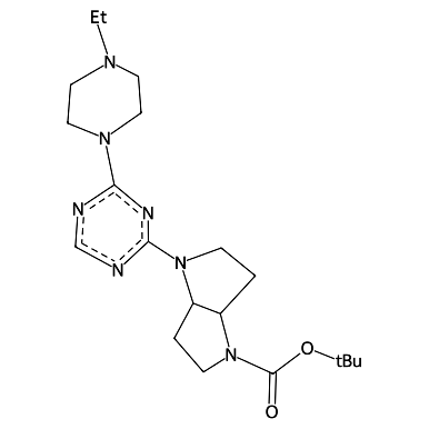 CCN1CCN(c2ncnc(N3CCC4C3CCN4C(=O)OC(C)(C)C)n2)CC1